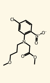 COCCCN(CC(=O)OC)c1cc(Cl)ccc1[N+](=O)[O-]